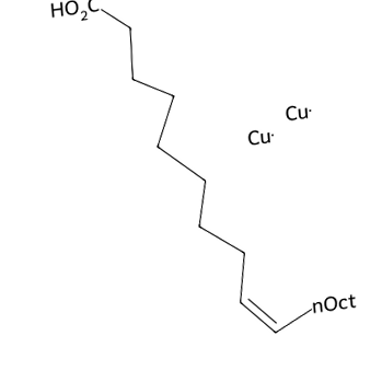 CCCCCCCC/C=C\CCCCCCCC(=O)O.[Cu].[Cu]